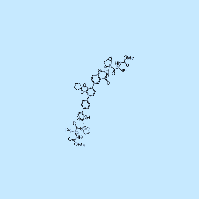 COC(=O)N[C@H](C(=O)N1CCC[C@H]1c1ncc(-c2ccc(-c3ccc(-c4ccc5nc([C@@H]6CC7CC7N6C(=O)[C@@H](NC(=O)OC)C(C)C)[nH]c(=O)c5c4)c4c3OC3(CCCC3)O4)cc2)[nH]1)C(C)C